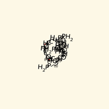 C=C1CC[C@H]2CC(=C)[C@H](CCC3C[C@@H](C)C(=C)[C@@H](CC4O[C@H](C[C@H](C)CCPP)[C@H](C)[C@H]4CC(=O)C[C@H]4CC[C@@H]5O[C@@H]6[C@@H](O[C@H](C1)[C@@H]6OP(P)P)[C@@H](OP(P)P)[C@H]5O4)O3)O2